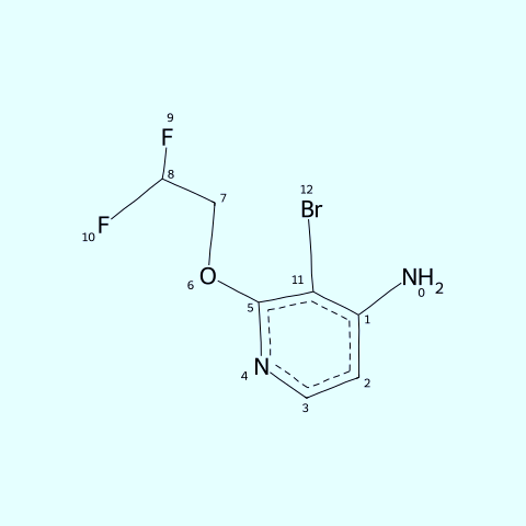 Nc1ccnc(OCC(F)F)c1Br